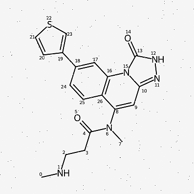 CNCCC(=O)N(C)c1cc2n[nH]c(=O)n2c2cc(-c3ccsc3)ccc12